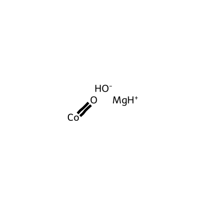 [MgH+].[OH-].[O]=[Co]